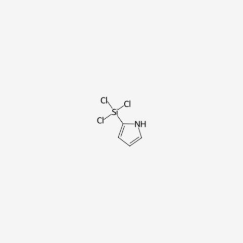 Cl[Si](Cl)(Cl)c1ccc[nH]1